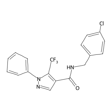 O=C(NCc1ccc(Cl)cc1)c1cnn(-c2ccccc2)c1C(F)(F)F